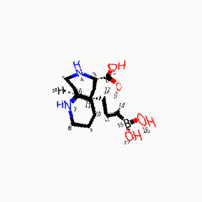 O=C(O)[C@H]1NC[C@@H]2NCCC[C@@]21CCCB(O)O